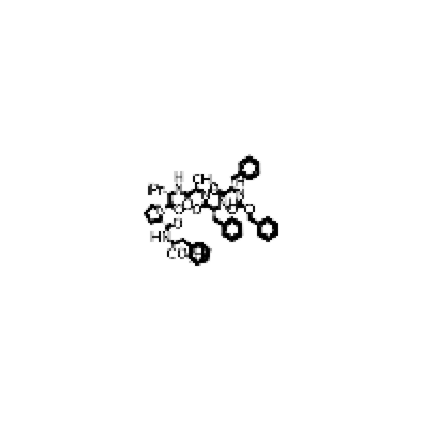 CC(C)[C@H](NC(=O)[C@H](C)NC(=O)[C@H](Cc1ccccc1)NC(=O)[C@H](Cc1ccccc1)NC(=O)OCc1ccccc1)C(=O)N1CCC[C@H]1C(=O)N[C@@H](Cc1ccccc1)C(=O)O